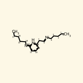 CCCCCN=CCc1cccc(=NCCCCC)[nH]1